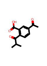 CC(=O)c1ccc(C(=O)C(C)C)c(C(=O)O)c1